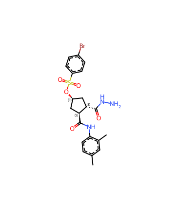 Cc1ccc(NC(=O)[C@H]2C[C@@H](OS(=O)(=O)c3ccc(Br)cc3)C[C@@H]2C(=O)NN)c(C)c1